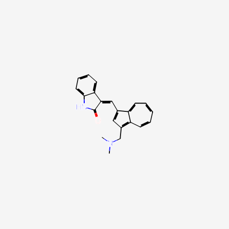 CN(C)Cc1cc(C=C2C(=O)Nc3ccccc32)c2cccccc1-2